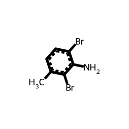 Cc1ccc(Br)c(N)c1Br